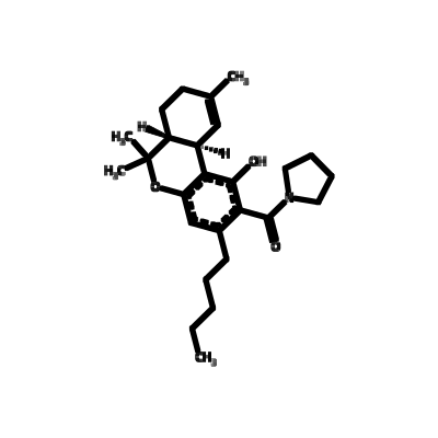 CCCCCc1cc2c(c(O)c1C(=O)N1CCCC1)[C@@H]1C=C(C)CC[C@H]1C(C)(C)O2